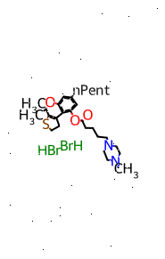 Br.Br.CCCCCc1cc(OC(=O)CCCCN2CCN(C)CC2)c2c(c1)OC(C)(C)C1=C2CCS1